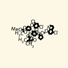 CC(C)=C1OC(=O)N(c2cc(OC3CCCC3)c(Cl)cc2F)C1=O.COC(=O)C(C)Oc1ccc(Oc2ccc(Cl)cc2Cl)cc1.O=C(O)COc1ccc(Cl)c2cccnc12